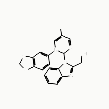 CCc1nc2ccccc2n1C1N=CC(F)=CN1c1ccc2c(c1)OCO2